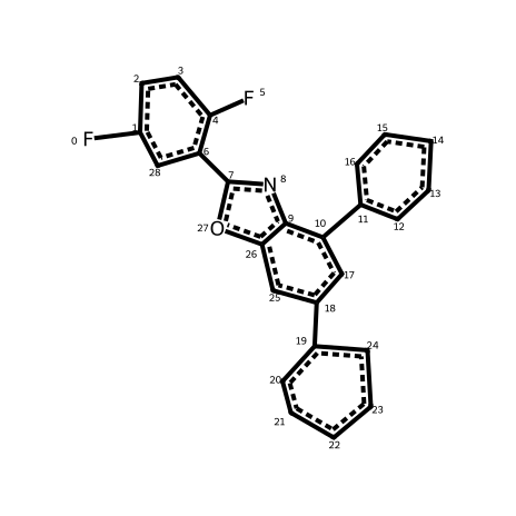 Fc1ccc(F)c(-c2nc3c(-c4ccccc4)cc(-c4ccccc4)cc3o2)c1